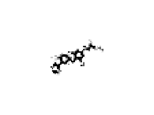 NC(=O)COc1cc(Cl)c(Cc2ccc(O)c(-c3cnccn3)c2)c(Cl)c1